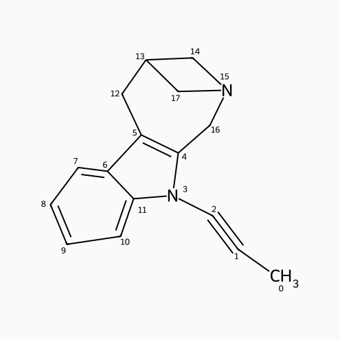 CC#Cn1c2c(c3ccccc31)CC1CN(C2)C1